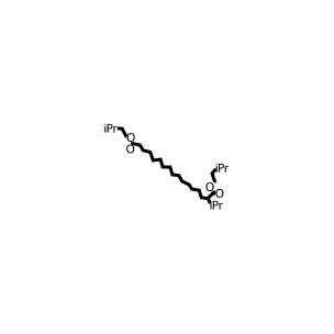 CC(C)CCOC(=O)CCCCCCCCCCCCCCC(C(=O)OCCC(C)C)C(C)C